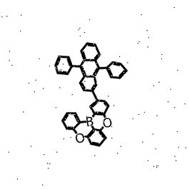 c1ccc(-c2c3ccccc3c(-c3ccccc3)c3cc(-c4ccc5c(c4)B4c6ccccc6Oc6cccc(c64)O5)ccc23)cc1